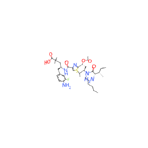 CCCCCCN(C(=O)[C@@H](N)[C@@H](C)CC)[C@H](C[C@@H](OC(C)=O)c1nc(C(=O)N[C@@H](Cc2ccc(N)c(F)c2)CC(C)(C)C(=O)O)cs1)C(C)C